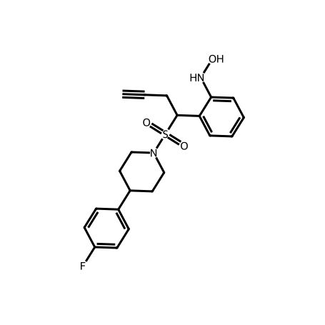 C#CCC(c1ccccc1NO)S(=O)(=O)N1CCC(c2ccc(F)cc2)CC1